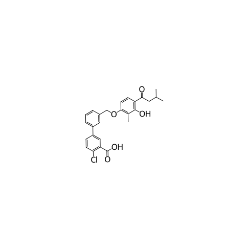 Cc1c(OCc2cccc(-c3ccc(Cl)c(C(=O)O)c3)c2)ccc(C(=O)CC(C)C)c1O